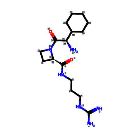 N=C(N)NCCCNC(=O)[C@@H]1CCN1C(=O)[C@H](N)C1CCCCC1